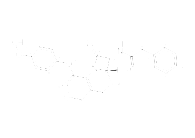 COc1ccc(OC(=O)C2=C(CCl)CS[C@H]3[C@@H](NC(=O)Cc4ccccc4)C(=O)N23)cc1